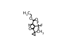 CCOC(=O)c1noc(C2(C)CC2)c1C(F)(F)F